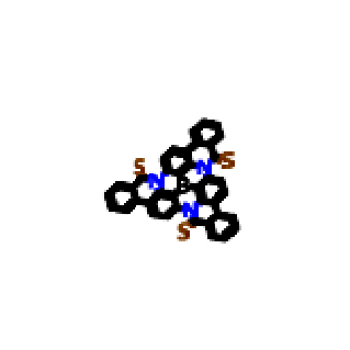 S=c1c2ccccc2c2ccc3c4c2n1-c1ccc2c5ccccc5c(=S)n5c2c1B4c1c-5ccc2c4ccccc4c(=S)n-3c12